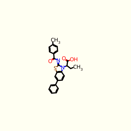 CCC(C(=O)O)n1c(=NC(=O)c2ccc(C)cc2)sc2cc(-c3ccccc3)ccc21